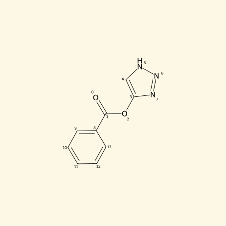 O=C(Oc1c[nH]nn1)c1ccccc1